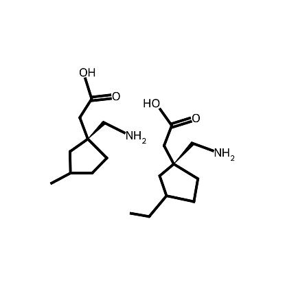 CC1CC[C@@](CN)(CC(=O)O)C1.CCC1CC[C@@](CN)(CC(=O)O)C1